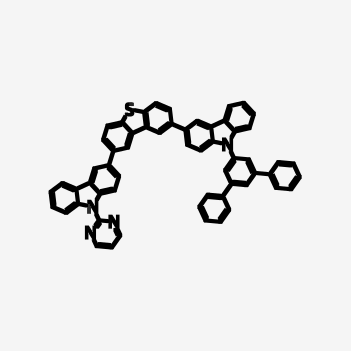 c1ccc(-c2cc(-c3ccccc3)cc(-n3c4ccccc4c4cc(-c5ccc6sc7ccc(-c8ccc9c(c8)c8ccccc8n9-c8ncccn8)cc7c6c5)ccc43)c2)cc1